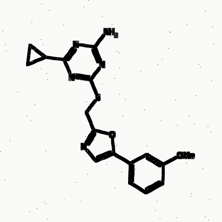 COc1cccc(-c2cnc(CSc3nc(N)nc(C4CC4)n3)o2)c1